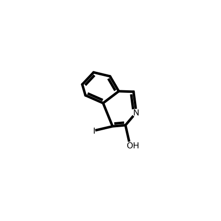 Oc1ncc2ccccc2c1I